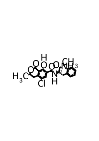 CNC(=O)[C@H](Cc1ccccc1)NC(=O)c1cc(Cl)c2c(c1O)C(=O)OC(C)C2